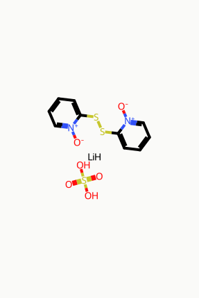 O=S(=O)(O)O.[LiH].[O-][n+]1ccccc1SSc1cccc[n+]1[O-]